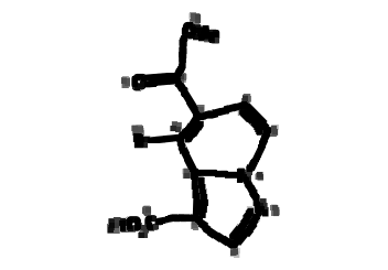 CCOC(=O)c1cnn2ccc(C(=O)OC)c(Br)c12